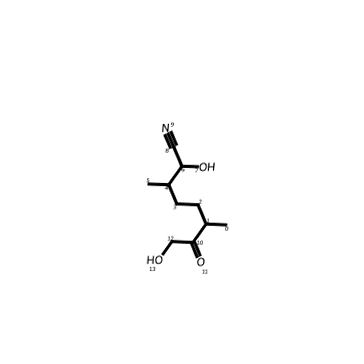 CC(CCC(C)C(O)C#N)C(=O)CO